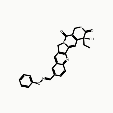 CC[C@@]1(O)C(=O)OCc2c1cc1n(c2=O)Cc2cc3cc(C=NOc4ccccc4)ccc3nc2-1